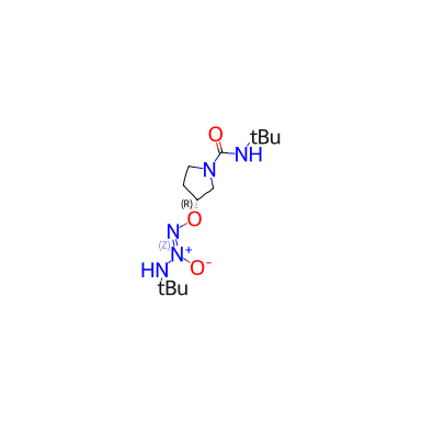 CC(C)(C)NC(=O)N1CC[C@@H](O/N=[N+](\[O-])NC(C)(C)C)C1